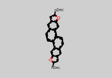 CCCCCCCCCCc1cc2cc3ccc4c5cc6oc(CCCCCCCCCC)cc6cc5ccc4c3cc2o1